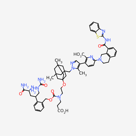 Cc1c(-c2ccc(N3CCc4cccc(C(=O)Nc5nc6ccccc6s5)c4C3)nc2C(=O)O)cnn1CC12CC3(C)CC(C)(C1)CC(OCCN(CCC(=O)O)C(=O)OCc1ccccc1C(CNC(N)=O)C[C@H](N)C(N)=O)(C3)C2